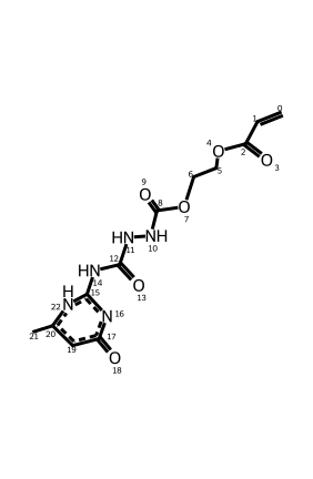 C=CC(=O)OCCOC(=O)NNC(=O)Nc1nc(=O)cc(C)[nH]1